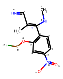 CN/C(=C(/C)C=N)c1ccc([N+](=O)[O-])cc1OSF